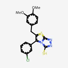 COc1ccc(Cc2sc3nnc(S)n3c2-c2cccc(Cl)c2)cc1OC